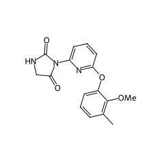 COc1c(C)cccc1Oc1cccc(N2C(=O)CNC2=O)n1